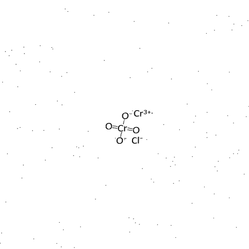 [Cl-].[Cr+3].[O]=[Cr](=[O])([O-])[O-]